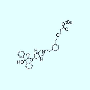 CC(C)(C)OC(=O)CCOCCc1cccc(CCN2C[C@H]3CC(OC(=O)C(O)(c4ccccc4)c4ccccc4)C[C@H]3C2)c1